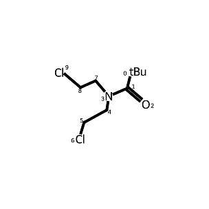 CC(C)(C)C(=O)N(CCCl)CCCl